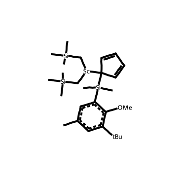 COc1c(C(C)(C)C)cc(C)cc1[Si](C)(C)[C]1([Sc]([CH2][Si](C)(C)C)[CH2][Si](C)(C)C)C=CC=C1